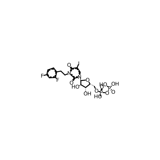 O=c1c(I)cn([C@@H]2O[C@H](COP(=O)(O)OP(=O)(O)O)[C@H](O)[C@@H]2O)c(=O)n1CCc1ccc(F)cc1F